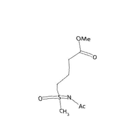 COC(=O)CCCS(C)(=O)=NC(C)=O